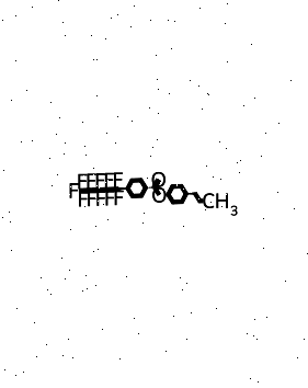 CCC[C@H]1CC[C@H](OC(=O)[C@H]2CC[C@H](C(F)(F)C(F)(F)C(F)(F)C(F)(F)C(F)(F)F)CC2)CC1